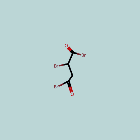 O=C(Br)CC(Br)C(=O)Br